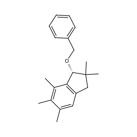 Cc1cc2c(c(C)c1C)[C@H](OCc1ccccc1)C(C)(C)C2